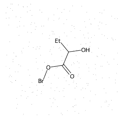 CCC(O)C(=O)OBr